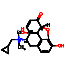 CC[N+](C)(CC1CC1)[C@@H]1Cc2ccc(O)c3c2C2[C@@H](O3)C(=O)C=C[C@]21O